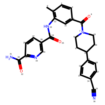 Cc1ccc(C(=O)N2CCC(c3ccc(C#N)cc3)CC2)cc1NC(=O)c1ccc(C(N)=O)nc1